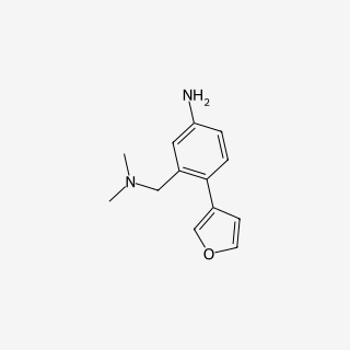 CN(C)Cc1cc(N)ccc1-c1ccoc1